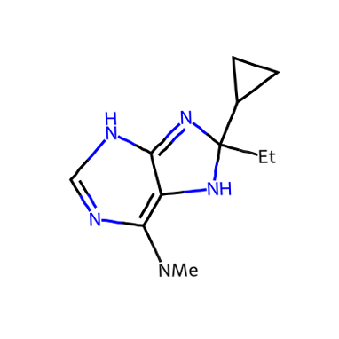 CCC1(C2CC2)N=C2NC=NC(NC)=C2N1